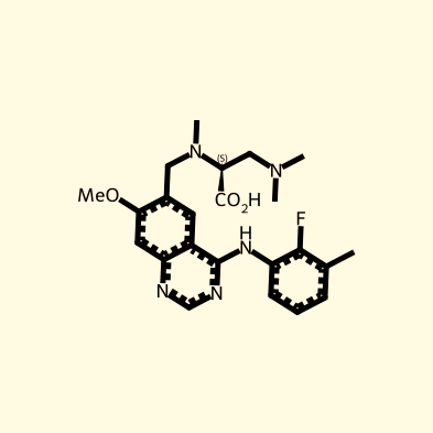 COc1cc2ncnc(Nc3cccc(C)c3F)c2cc1CN(C)[C@@H](CN(C)C)C(=O)O